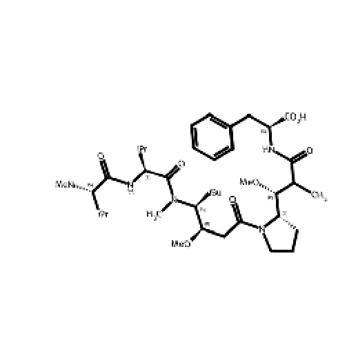 CCC(C)[C@@H]([C@@H](CC(=O)N1CCC[C@H]1[C@H](OC)C(C)C(=O)N[C@@H](Cc1ccccc1)C(=O)O)OC)N(C)C(=O)[C@@H](NC(=O)[C@@H](NC)C(C)C)C(C)C